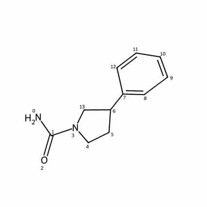 NC(=O)N1CCC(c2ccccc2)C1